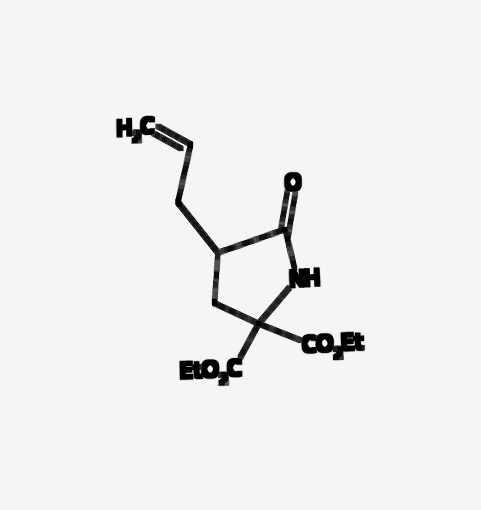 C=CCC1CC(C(=O)OCC)(C(=O)OCC)NC1=O